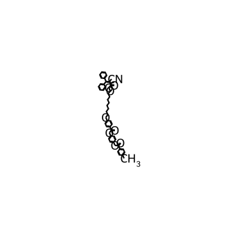 Cc1ccc(C(=O)Oc2ccc(OC(=O)c3ccc(OCCCCCCCCOOC(=O)C(C#N)=C(c4ccccc4)c4ccccc4)cc3)cc2)cc1